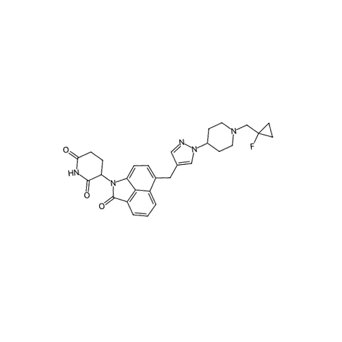 O=C1CCC(N2C(=O)c3cccc4c(Cc5cnn(C6CCN(CC7(F)CC7)CC6)c5)ccc2c34)C(=O)N1